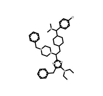 CCN(CC)c1oc(C(CC2CCC(C(c3ccc(Cl)cc3)N(C)C)CC2)N2CCN(Cc3ccccc3)CC2)nc1Cc1ccccc1